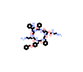 NCCCC[C@H]1NC(=O)C(Cc2c[nH]c3ccccc23)NC(=O)[C@@H](c2ccccc2)NC(=O)[C@@H]2CC(OC(=O)NCCN)CN2C(=O)[C@@H](Cc2ccccc2)NC(=O)[C@@H](Cc2ccc(OCc3ccccc3)cc2)NC1=O